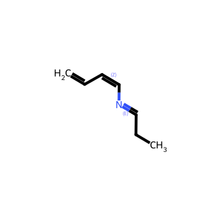 C=C/C=C\N=C\CC